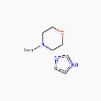 CCCC(C)N1CCOCC1.c1c[nH]cn1